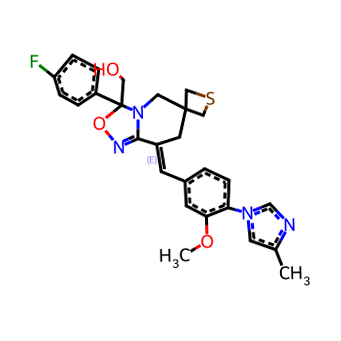 COc1cc(/C=C2\CC3(CSC3)CN3C2=NOC3(CO)c2ccc(F)cc2)ccc1-n1cnc(C)c1